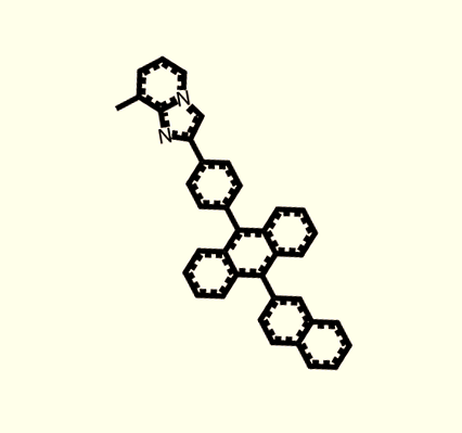 Cc1cccn2cc(-c3ccc(-c4c5ccccc5c(-c5ccc6ccccc6c5)c5ccccc45)cc3)nc12